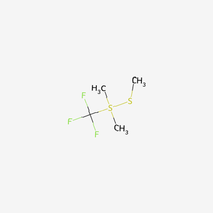 CSS(C)(C)C(F)(F)F